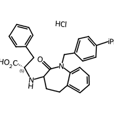 CC(C)c1ccc(CN2C(=O)C(N[C@@H](Cc3ccccc3)C(=O)O)CCc3ccccc32)cc1.Cl